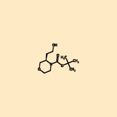 CC(C)(C)OC(=O)N1CCOC[C@H]1CCO